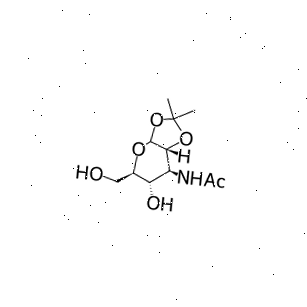 CC(=O)N[C@H]1[C@H](O)[C@@H](CO)OC2OC(C)(C)O[C@@H]21